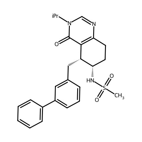 CC(C)n1cnc2c(c1=O)[C@@H](Cc1cccc(-c3ccccc3)c1)[C@@H](NS(C)(=O)=O)CC2